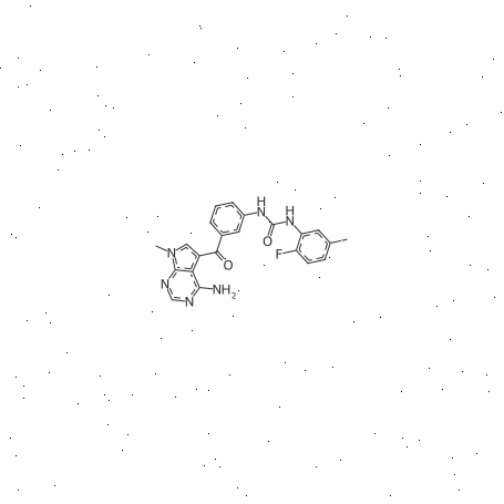 Cc1ccc(F)c(NC(=O)Nc2cccc(C(=O)c3cn(C)c4ncnc(N)c34)c2)c1